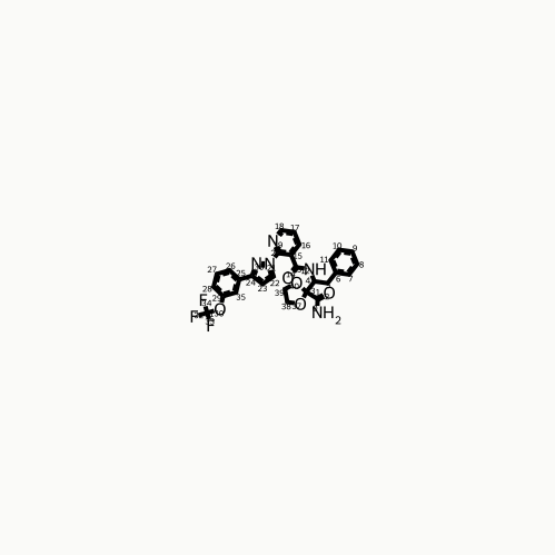 NC(=O)C1(C(Cc2ccccc2)NC(=O)c2cccnc2-n2ccc(-c3cccc(OC(F)(F)F)c3)n2)OCCO1